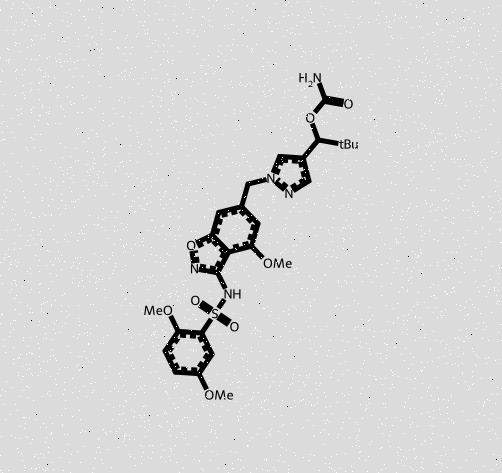 COc1ccc(OC)c(S(=O)(=O)Nc2noc3cc(Cn4cc(C(OC(N)=O)C(C)(C)C)cn4)cc(OC)c23)c1